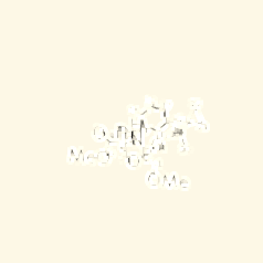 COCP(=O)(NC(C)(C)C(=O)OC)Oc1c(C(C)C)cccc1[C@H](C)C1CC1